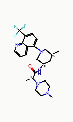 C[C@H]1C[C@@H](NC(=O)[C@@H](C)N2CCN(C)CC2)CN(c2ccc(C(F)(F)F)c3ncccc23)C1